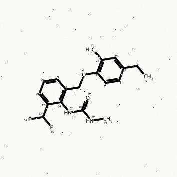 CCc1ccc(OCc2cccc(C(F)F)c2NC(=O)NC)c(C)c1